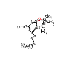 COCCCc1cc(C=O)cc(O[Si](C)(C)C(C)(C)C)c1